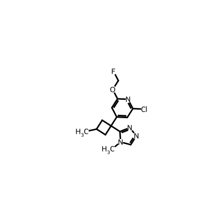 CC1CC(c2cc(Cl)nc(OCF)c2)(c2nncn2C)C1